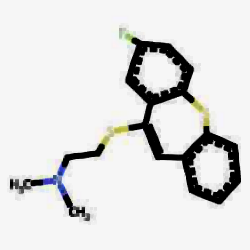 CN(C)CCSC1=Cc2ccccc2Sc2ccc(F)cc21